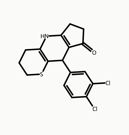 O=C1CCC2=C1C(c1ccc(Cl)c(Cl)c1)C1=C(CCCS1)N2